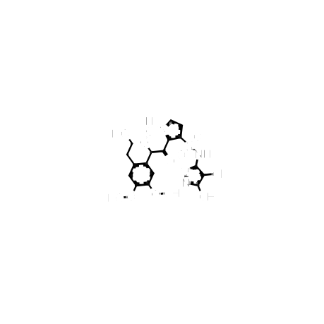 COc1cc(CCO)c(C(OC)C(=O)c2sccc2S(=O)(=O)Nc2onc(C)c2Cl)cc1OC